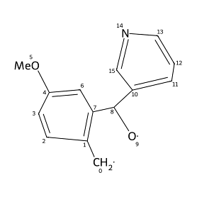 [CH2]c1ccc(OC)cc1C([O])c1cccnc1